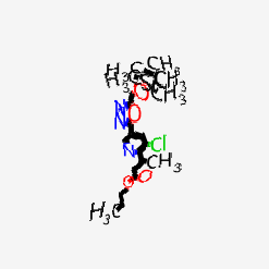 CCCCOC(=O)/C=C(\C)c1ncc(-c2nnc(CO[Si](C)(C)C(C)(C)C)o2)cc1Cl